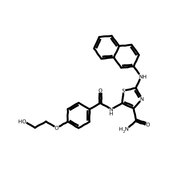 NC(=O)c1nc(Nc2ccc3ccccc3c2)sc1NC(=O)c1ccc(OCCO)cc1